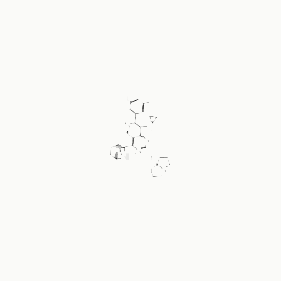 C[C@@H]1C[C@@H]1c1c(Cl)cc(O)cc1-c1ncc2c(N3CC4CCC3CN4)nc(OC[C@@]34CCCN3C[C@H](F)C4)nc2c1F